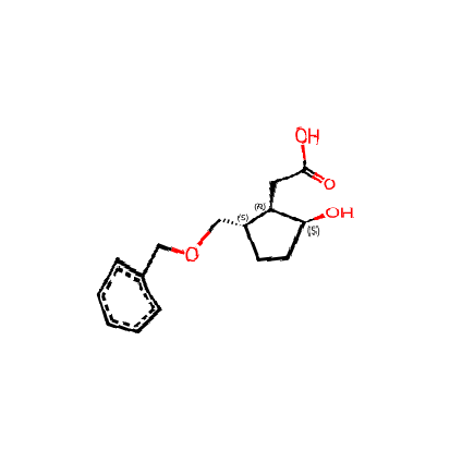 O=C(O)C[C@@H]1[C@@H](COCc2ccccc2)CC[C@@H]1O